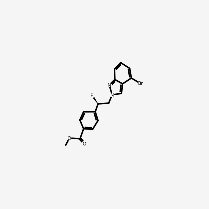 COC(=O)c1ccc([C@@H](F)Cn2cc3c(Br)cccc3n2)cc1